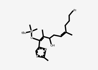 CC(=CCC(O)C(C)=C(O[Si](C)(C)C(C)(C)C)c1csc(C)n1)CCCC(C)C